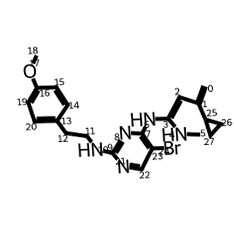 C=C(/C=C(\NC)Nc1nc(NCCc2ccc(OC)cc2)ncc1Br)C1CC1